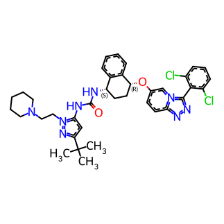 CC(C)(C)c1cc(NC(=O)N[C@H]2CC[C@@H](Oc3ccc4nnc(-c5c(Cl)cccc5Cl)n4c3)c3ccccc32)n(CCN2CCCCC2)n1